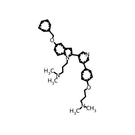 CN(C)CCCOc1ccc(-c2cncc(-c3cc4cc(OCc5ccccc5)ccc4n3CCCN(C)C)c2)cc1